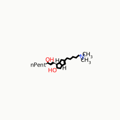 CCCCC[C@@H](O)/C=C/[C@H]1[C@@H]2CC(CCCCCN(C)C)=C[C@@H]2C[C@H]1O